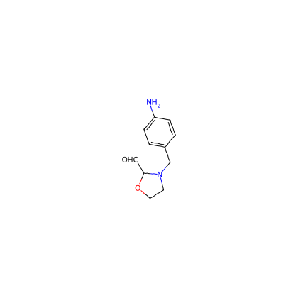 Nc1ccc(CN2CCOC2C=O)cc1